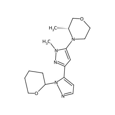 C[C@@H]1COCCN1c1cc(-c2ccnn2C2CCCCO2)nn1C